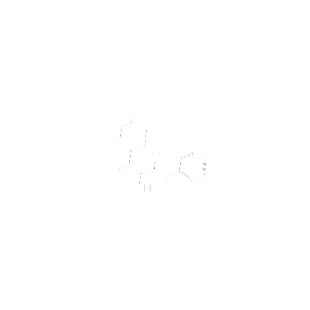 CC1OCC2OC(Sc3ccccc3)C(O)C(O)C2O1